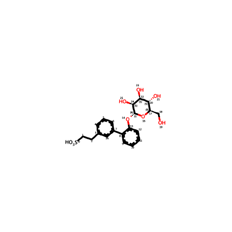 O=S(=O)(O)CCc1cccc(-c2ccccc2O[C@H]2O[C@H](CO)[C@@H](O)[C@H](O)[C@@H]2O)c1